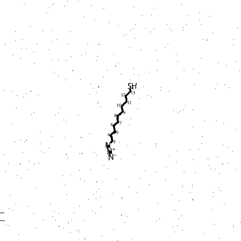 [N-]=[N+]=NCCCCCCCCCCCS